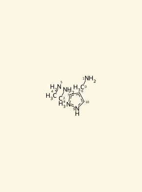 CN.CN.CN.c1cn[nH]c1